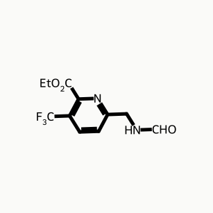 CCOC(=O)c1nc(CNC=O)ccc1C(F)(F)F